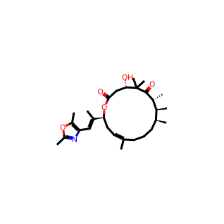 C/C1=C/C[C@@H](/C(C)=C/c2nc(C)oc2C)OC(=O)C[C@H](O)C(C)(C)C(=O)[C@H](C)[C@@H](C)[C@@H](C)CCC1